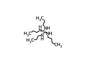 CCCCN[Si](NCCC)(NCCC)NCCC